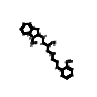 CSc1ccccc1OCCNCC(O)COC1Cc2ccccc2N1C=O